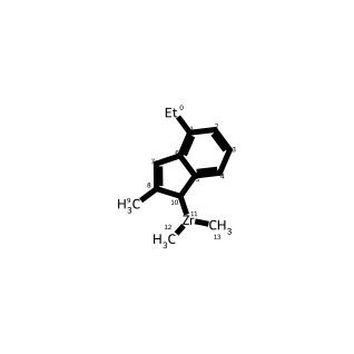 CCc1cccc2c1C=C(C)[CH]2[Zr]([CH3])[CH3]